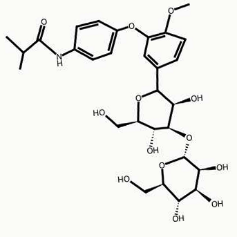 COc1ccc(C2O[C@H](CO)[C@@H](O)[C@H](O[C@H]3O[C@H](CO)[C@@H](O)[C@H](O)[C@@H]3O)[C@@H]2O)cc1Oc1ccc(NC(=O)C(C)C)cc1